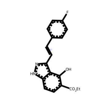 CCOC(=O)c1ccc2[nH]nc(/C=C/c3ccc(F)cc3)c2c1O